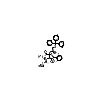 CCCCOC(=O)NC(CSC)[C@](CCCSC(c1ccccc1)(c1ccccc1)c1ccccc1)(C(=O)OC)N(N)C(=O)c1ccccc1